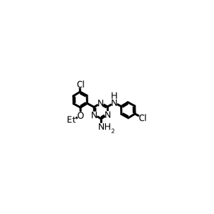 CCOc1ccc(Cl)cc1-c1nc(N)nc(Nc2ccc(Cl)cc2)n1